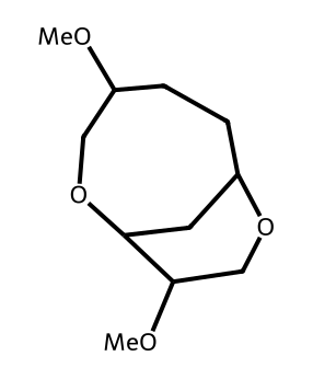 COC1CCC2CC(OC1)C(OC)CO2